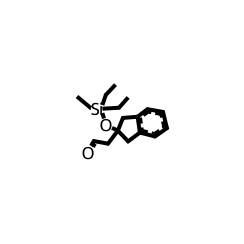 CC[Si](CC)(CC)OC1(CC=O)Cc2ccccc2C1